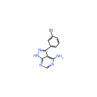 CCc1cccc(-c2n[nH]c3ncnc(N)c23)c1